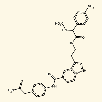 N=C(Nc1ccc(CC(N)=O)cc1)c1ccc2[nH]cc(CCNC(=O)C(NC(=O)O)c3ccc(N)cc3)c2c1